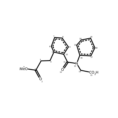 COC(=O)CCc1ccccc1C(=O)N(CC(=O)O)c1ccccc1